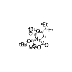 CCC(F)CC[C@@H](C(=O)OC)N(C(=O)OC(C)(C)C)C(=O)OC(C)(C)C